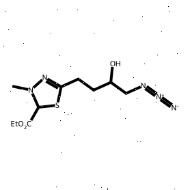 CCOC(=O)C1SC(CCC(O)CN=[N+]=[N-])=NN1C